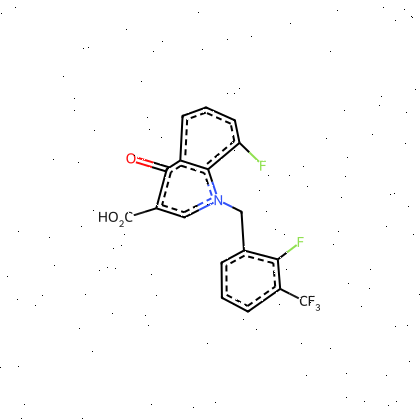 O=C(O)c1cn(Cc2cccc(C(F)(F)F)c2F)c2c(F)cccc2c1=O